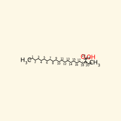 CCCCCCCCCCCCCCCCCC[CH]C(CC)C(=O)O